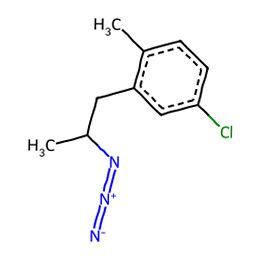 Cc1ccc(Cl)cc1CC(C)N=[N+]=[N-]